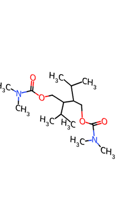 CC(C)C(COC(=O)N(C)C)C(COC(=O)N(C)C)C(C)C